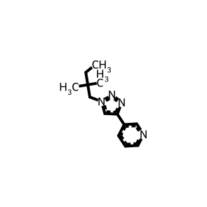 CCC(C)(C)Cn1cc(-c2cccnc2)nn1